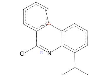 CC(C)c1cccc(C(C)C)c1/N=C(/Cl)c1ccccc1